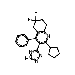 FC1(F)CCc2nc(C3CCCC3)c(-c3nn[nH]n3)c(-c3ccccc3)c2C1